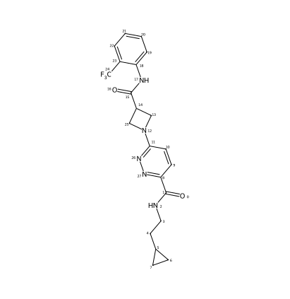 O=C(NCCC1CC1)c1ccc(N2CC(C(=O)Nc3ccccc3C(F)(F)F)C2)nn1